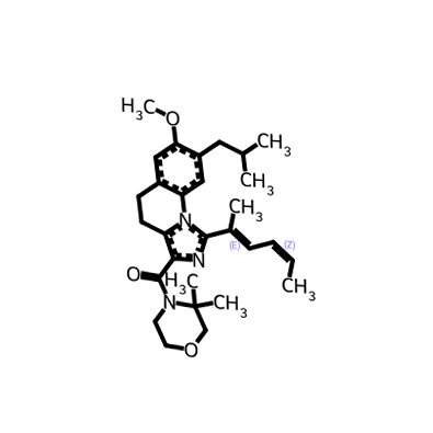 C/C=C\C=C(/C)c1nc(C(=O)N2CCOCC2(C)C)c2n1-c1cc(CC(C)C)c(OC)cc1CC2